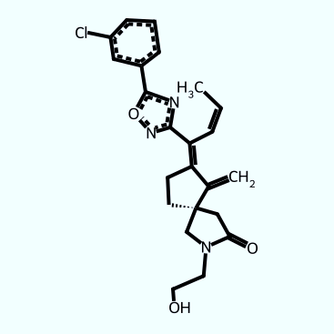 C=C1/C(=C(\C=C/C)c2noc(-c3cccc(Cl)c3)n2)CC[C@@]12CC(=O)N(CCO)C2